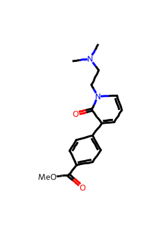 COC(=O)c1ccc(-c2cccn(CCN(C)C)c2=O)cc1